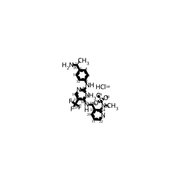 C[C@@H](N)c1ccc(Nc2ncc(C(F)(F)F)c(NCc3cccnc3N(C)S(C)(=O)=O)n2)cc1.Cl